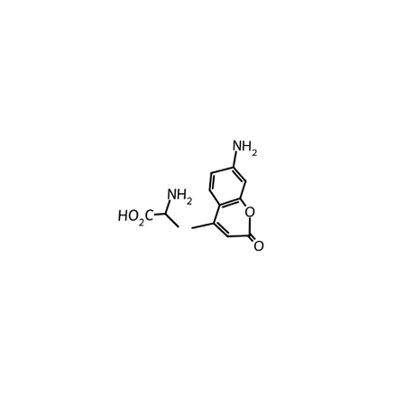 CC(N)C(=O)O.Cc1cc(=O)oc2cc(N)ccc12